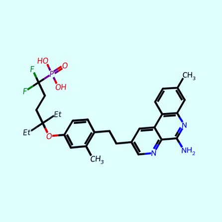 CCC(CC)(CCC(F)(F)P(=O)(O)O)Oc1ccc(CCc2cnc3c(N)nc4cc(C)ccc4c3c2)c(C)c1